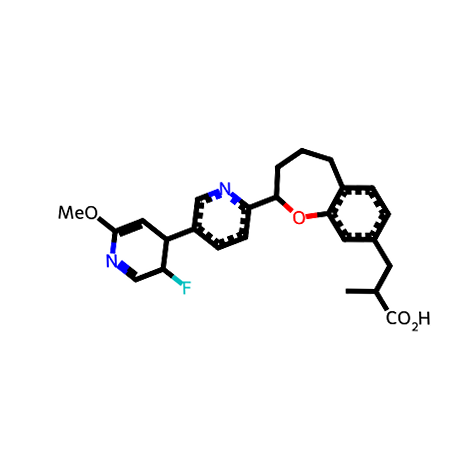 COC1=CC(c2ccc(C3CCCc4ccc(CC(C)C(=O)O)cc4O3)nc2)C(F)C=N1